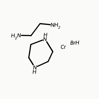 Br.C1CNCCN1.NCCN.[Cr]